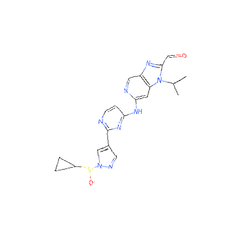 CC(C)n1c(C=O)nc2cnc(Nc3ccnc(-c4cnn([S+]([O-])C5CC5)c4)n3)cc21